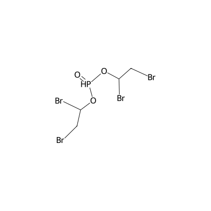 O=[PH](OC(Br)CBr)OC(Br)CBr